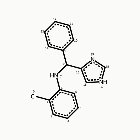 Clc1ccccc1NC(c1ccccc1)c1c[nH]cn1